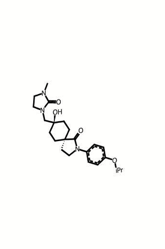 CC(C)Oc1ccc(N2CC[C@]3(CC[C@@](O)(CN4CCN(C)C4=O)CC3)C2=O)cc1